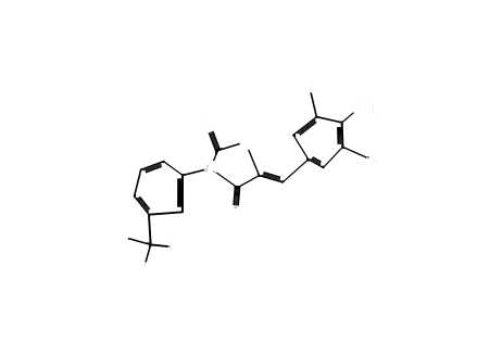 Cc1c(Br)cc(/C=C2\SC(=S)N(c3cccc(C(F)(F)F)c3)C2=O)cc1Br